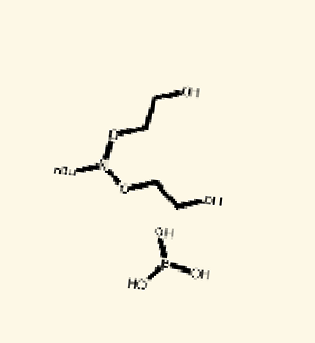 CCCCN(OCCO)OCCO.OB(O)O